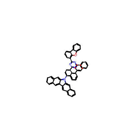 c1ccc(-c2nc(-c3cccc4c3oc3ccccc34)nc(-c3ccc(-n4c5cc6ccccc6cc5c5cc6ccccc6cc54)c4cccc(-c5ccccc5)c34)n2)cc1